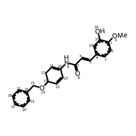 COc1ccc(/C=C/C(=O)NC2=CCC(OCc3ccccc3)C=C2)cc1O